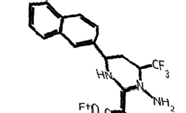 CCOC(=O)/C(C)=C1\NC(c2ccc3ccccc3c2)CC(C(F)(F)F)N1N